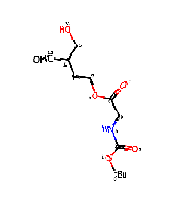 CC(C)(C)OC(=O)NCC(=O)OCCC(C=O)CO